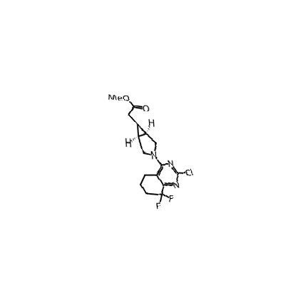 COC(=O)CC1[C@H]2CN(c3nc(Cl)nc4c3CCCC4(F)F)C[C@@H]12